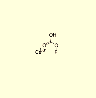 O=C(O)OF.[Ce].[La]